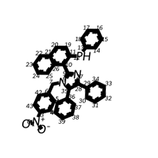 O=[N+]([O-])c1ccc(Cn2c(-c3c(Pc4ccccc4)ccc4ccccc34)nc(-c3ccccc3)c2-c2ccccc2)cc1